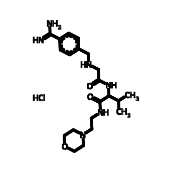 CC(C)C(NC(=O)CNCc1ccc(C(=N)N)cc1)C(=O)NCCN1CCOCC1.Cl